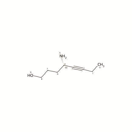 CCC#C[C@@H](N)CCCO